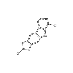 Clc1nc2cc3oc4c(Cl)cccc4c3cc2o1